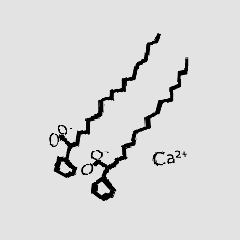 CCCCCCCCCCCCCCCCC(C(=O)[O-])c1ccccc1.CCCCCCCCCCCCCCCCC(C(=O)[O-])c1ccccc1.[Ca+2]